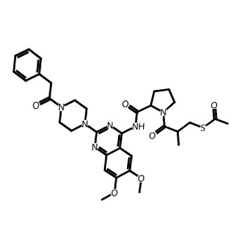 COc1cc2nc(N3CCN(C(=O)Cc4ccccc4)CC3)nc(NC(=O)C3CCCN3C(=O)C(C)CSC(C)=O)c2cc1OC